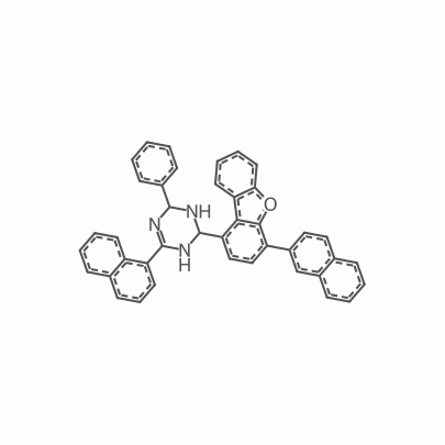 c1ccc(C2N=C(c3cccc4ccccc34)NC(c3ccc(-c4ccc5ccccc5c4)c4oc5ccccc5c34)N2)cc1